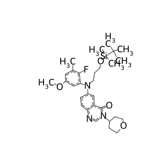 COc1cc(C)c(F)c(N(CCCO[Si](C)(C)C(C)(C)C)c2ccc3ncn(C4CCOCC4)c(=O)c3c2)c1